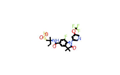 CCC(C)(C[SH](=O)=O)NC(=O)c1cc(F)c2c(c1)C(C)(C)C(=O)N2c1cncc(OC(F)(F)F)c1